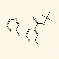 CC(C)(C)OC(=O)c1cc(Cl)nc(Nc2cnccn2)c1